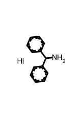 I.NC(c1ccccc1)c1ccccc1